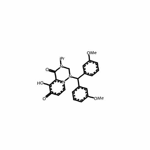 COc1cccc(C(c2cccc(OC)c2)N2CN(C(C)C)C(=O)c3c(O)c(=O)ccn32)c1